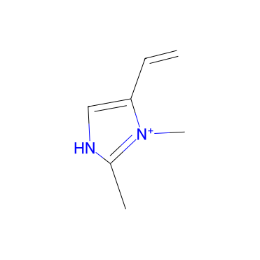 C=Cc1c[nH]c(C)[n+]1C